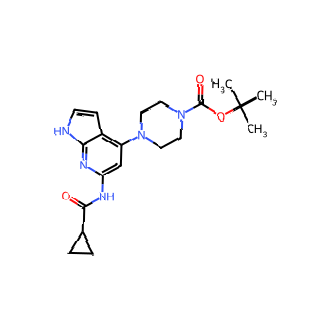 CC(C)(C)OC(=O)N1CCN(c2cc(NC(=O)C3CC3)nc3[nH]ccc23)CC1